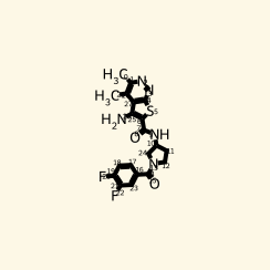 Cc1nnc2sc(C(=O)NC3CCN(C(=O)c4ccc(F)c(F)c4)C3)c(N)c2c1C